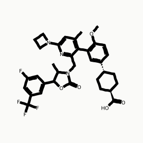 COc1ccc([C@H]2CC[C@H](C(=O)O)CC2)cc1-c1c(C)cc(N2CCC2)nc1CN1C(=O)OC(c2cc(F)cc(C(F)(F)F)c2)C1C